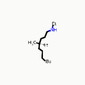 CCNCCC[C@@](C)(CC)CCCC(C)CC